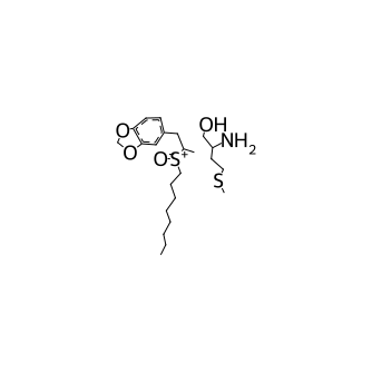 CCCCCCCC[S+]([O-])C(C)Cc1ccc2c(c1)OCO2.CSCCC(N)CO